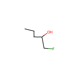 CCCC(O)CF